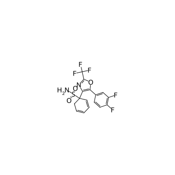 NS(=O)(=O)C1(c2nc(C(F)(F)F)oc2-c2ccc(F)c(F)c2)C=CC=CC1